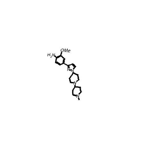 COc1cc(-c2ccn(C3CCN(C4CCN(C)CC4)CC3)n2)ccc1N